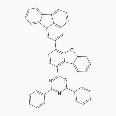 c1ccc(-c2nc(-c3ccccc3)nc(-c3ccc(-c4cc5c6c(cccc6c4)-c4ccccc4-5)c4oc5ccccc5c34)n2)cc1